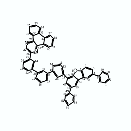 c1ccc(-c2ccc3oc4c(-c5cccc(-c6cccc(-c7cccc(-c8cnc9c%10ccccc%10c%10ccccc%10c9n8)c7)c6)c5)cc(-c5ccccc5)cc4c3c2)cc1